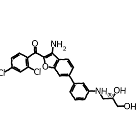 Nc1c(C(=O)c2ccc(Cl)cc2Cl)oc2cc(-c3cccc(NC[C@@H](O)CO)c3)ccc12